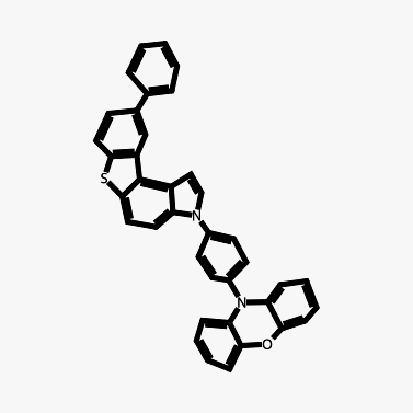 c1ccc(-c2ccc3sc4ccc5c(ccn5-c5ccc(N6c7ccccc7Oc7ccccc76)cc5)c4c3c2)cc1